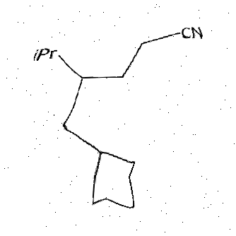 CC(C)C(CCC#N)CC1CCC1